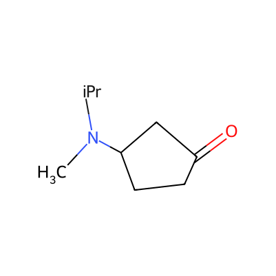 CC(C)N(C)C1CCC(=O)C1